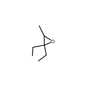 CCC1(CC)OC1C